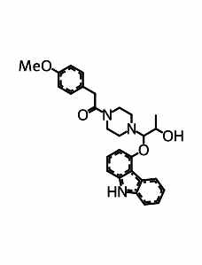 COc1ccc(CC(=O)N2CCN(C(Oc3cccc4[nH]c5ccccc5c34)C(C)O)CC2)cc1